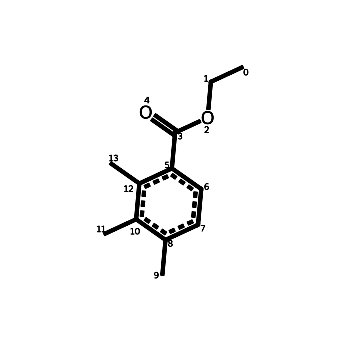 CCOC(=O)c1ccc(C)c(C)c1C